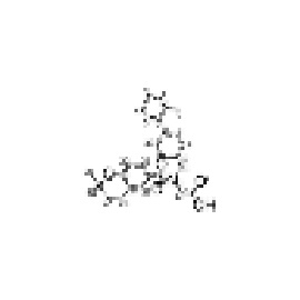 Cc1ccccc1-c1ccc(CN(CC(=O)O)S(=O)(=O)c2ccc3c(c2)CCC(C)(C)O3)cc1